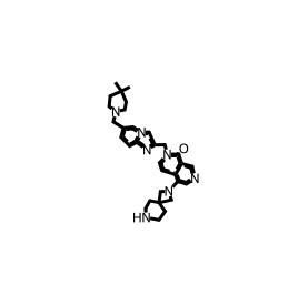 CC1(C)CCN(Cc2ccc3nc(Cn4ccc5c(N6CC7(CCNCC7)C6)cncc5c4=O)cn3c2)CC1